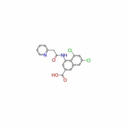 O=C(Cc1ccccn1)Nc1cc(C(=O)O)cc2cc(Cl)cc(Cl)c12